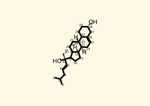 CC(C)C/C=C/[C@](C)(O)C1CC[C@H]2[C@@H]3CC=C4C[C@@H](O)CC[C@]4(C)[C@H]3CC[C@]12C